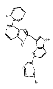 Oc1cncc(-c2ccc3[nH]nc(-c4nc5c(-c6ccccc6F)nccc5[nH]4)c3n2)c1